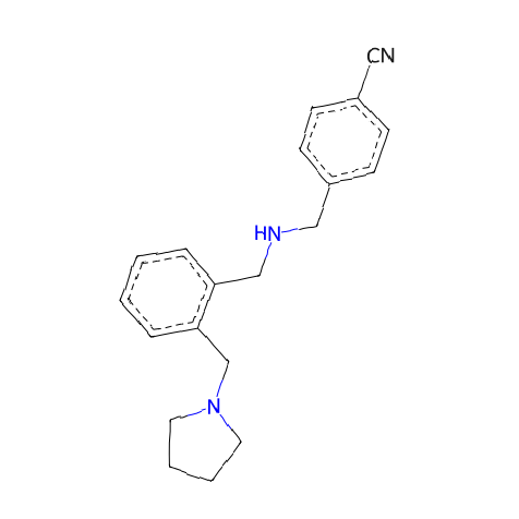 N#Cc1ccc(CNCc2ccccc2CN2CCCC2)cc1